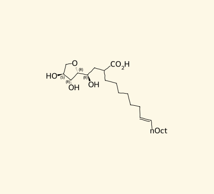 CCCCCCCCC=CCCCCCCC(C[C@@H](O)[C@H]1OC[C@H](O)[C@H]1O)C(=O)O